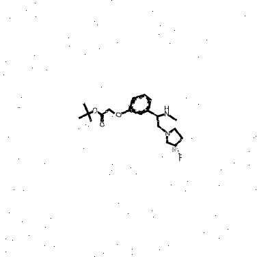 CNC(CN1CC[C@H](F)C1)c1cccc(OCC(=O)OC(C)(C)C)c1